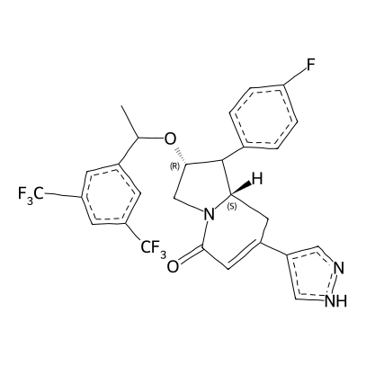 CC(O[C@H]1CN2C(=O)C=C(c3cn[nH]c3)C[C@H]2C1c1ccc(F)cc1)c1cc(C(F)(F)F)cc(C(F)(F)F)c1